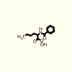 CCCCC(NC(=O)c1ccccc1)C(=O)OO